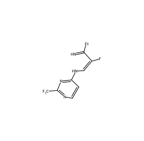 CCC(=N)/C(F)=C\Nc1ccnc(C(F)(F)F)n1